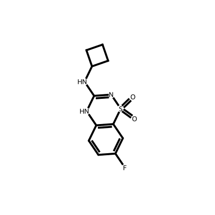 O=S1(=O)N=C(NC2CCC2)Nc2ccc(F)cc21